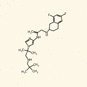 C=C(CNC1CCc2cc(F)cc(F)c2C1)Nc1cn(C(C)(C)CNCC(C)(C)C)cn1